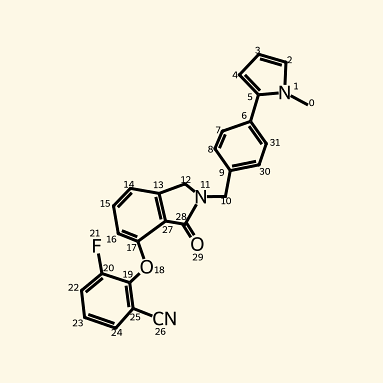 Cn1cccc1-c1ccc(CN2Cc3cccc(Oc4c(F)cccc4C#N)c3C2=O)cc1